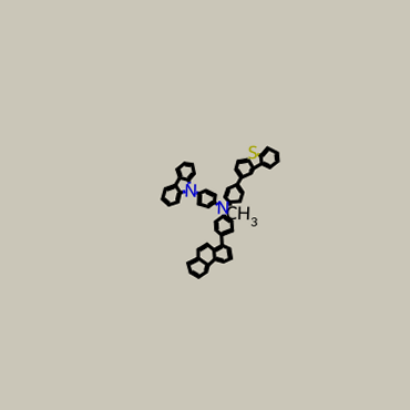 CC1(N(c2ccc(-c3cccc4c3ccc3ccccc34)cc2)c2ccc(-n3c4ccccc4c4ccccc43)cc2)C=CC(c2ccc3sc4ccccc4c3c2)=CC1